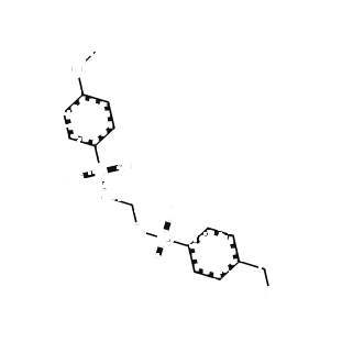 COc1ccc(S(=O)(=O)OCOS(=O)(=O)c2ccc(CO)cc2)cc1